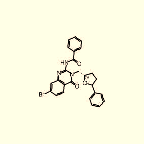 O=C(Nc1nc2cc(Br)ccc2c(=O)n1C[C@@H]1CCC(c2ccccc2)O1)c1ccccc1